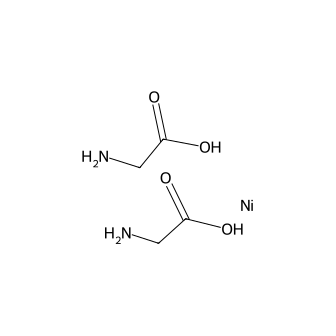 NCC(=O)O.NCC(=O)O.[Ni]